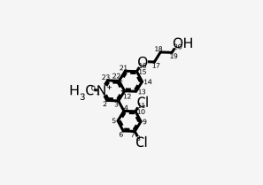 C[n+]1cc(-c2ccc(Cl)cc2Cl)c2ccc(OCCCO)cc2c1